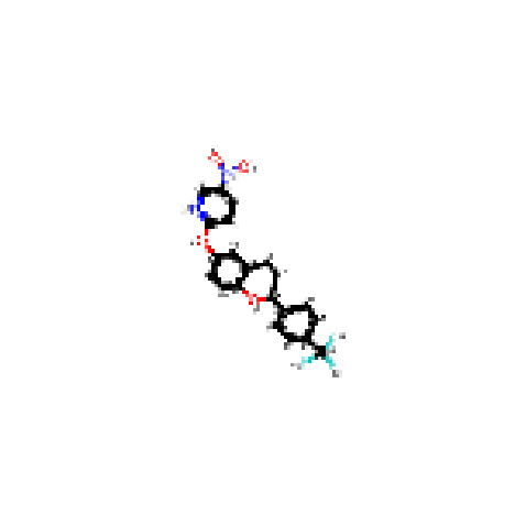 O=[N+]([O-])c1ccc(Oc2ccc3c(c2)CCC(c2ccc(C(F)(F)F)cc2)O3)nc1